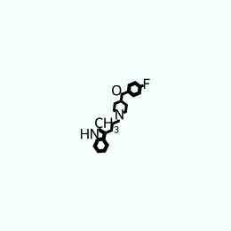 Cc1[nH]c2ccccc2c1CCCN1CCC(C(=O)c2ccc(F)cc2)CC1